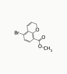 COC(=O)c1ccc(Br)c2c1OCC=C2